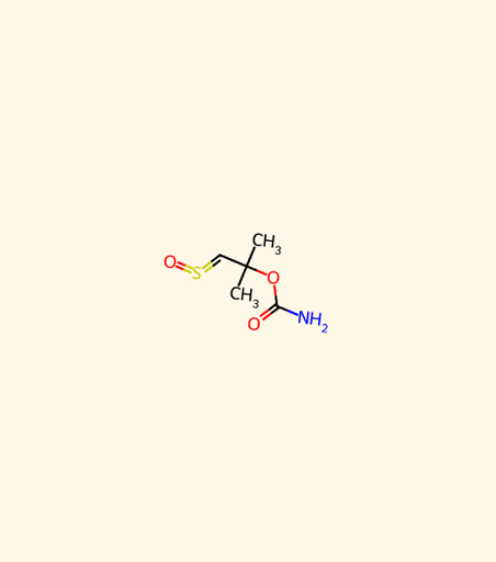 CC(C)(C=S=O)OC(N)=O